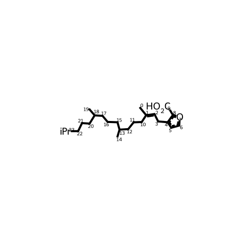 CC(=CCc1ccoc1C(=O)O)CCCC(C)CCCC(C)CCCC(C)C